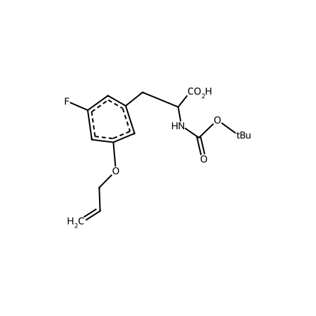 C=CCOc1cc(F)cc(CC(NC(=O)OC(C)(C)C)C(=O)O)c1